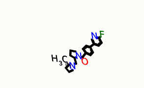 C[C@H]1CCCN1CC1CCCN1C(=O)c1ccc(-c2ccc(F)nc2)cc1